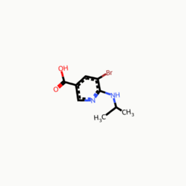 CC(C)Nc1ncc(C(=O)O)cc1Br